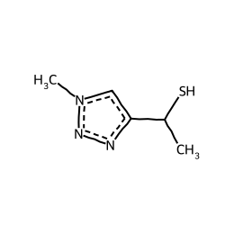 CC(S)c1cn(C)nn1